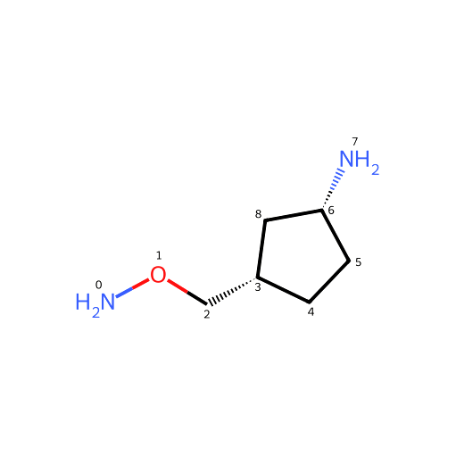 NOC[C@H]1CC[C@@H](N)C1